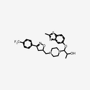 Cc1nc2cc(OC(C(C)O)N3CCN(CC4CC(c5ccc(C(F)(F)F)cc5)=NO4)CC3)ccc2s1